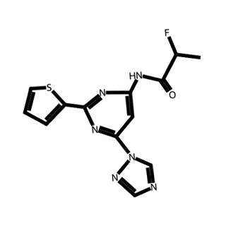 CC(F)C(=O)Nc1cc(-n2cncn2)nc(-c2cccs2)n1